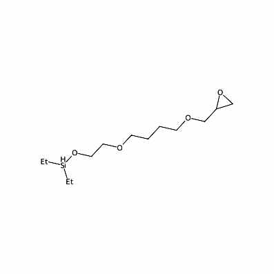 CC[SiH](CC)OCCOCCCCOCC1CO1